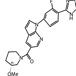 CO[C@@H]1CCCN(C(=O)c2cnc3c(ccn3-c3ccc(-c4nnc[nH]4)c(F)c3)c2)C1